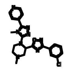 CN1CCN(c2nnc(-c3ccncc3)n2C)C(c2nc(-c3cccc(Cl)c3)no2)C1